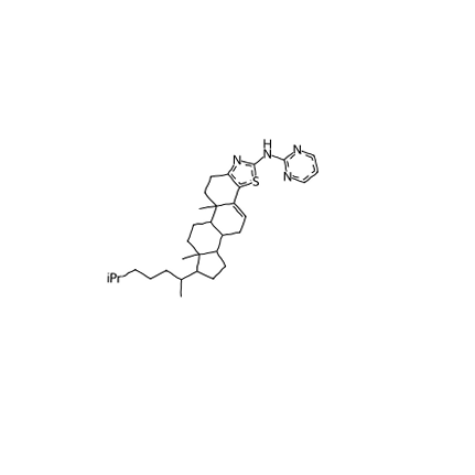 CC(C)CCCC(C)C1CCC2C3CC=C4c5sc(Nc6ncccn6)nc5CCC4(C)C3CCC12C